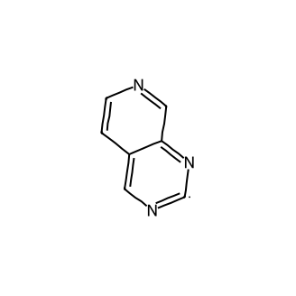 [c]1ncc2ccncc2n1